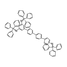 c1ccc(P(=Nc2ccc(-c3ccc(-c4ccc(-c5cc(N=P(c6ccccc6)(c6ccccc6)c6ccccc6)cc(N=P(c6ccccc6)(c6ccccc6)c6ccccc6)c5)cc4)cc3)cc2)(c2ccccc2)c2ccccc2)cc1